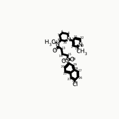 Cc1cc(N2CCCC(N(C)C(=O)CCCS(=O)(=O)c3ccc4cc(Cl)ccc4c3)C2)ccn1